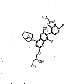 Nc1nc2c(-c3c(C(F)(F)F)cc4c(N5CC6CCC(C5)N6)nc(OCC(O)CO)nc4c3F)ccc(F)c2s1